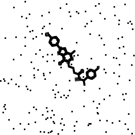 Cc1nn(CCCC(=O)NC(C)c2ccc(F)cc2)c(=O)c2nn(-c3ccc(Cl)cc3)cc12